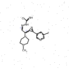 CN1CCN(C(/C=N\NC(=N)Cl)=C2N=C/2c2cncc(F)c2)CC1